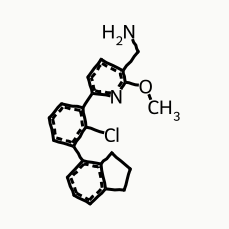 COc1nc(-c2cccc(-c3cccc4c3CCC4)c2Cl)ccc1CN